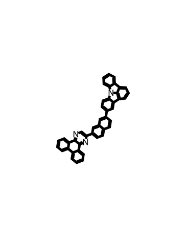 c1ccc2c(c1)c1ccccc1c1nc(-c3ccc4ccc(-c5ccc6c(c5)c5cccc7c8ccccc8n6c75)cc4c3)cnc21